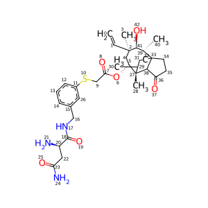 C=C[C@]1(C)C[C@@H](OC(=O)CSc2cccc(CNC(=O)[C@H](N)CC(N)=O)c2)[C@]2(C)C(C)CCC3(CCC(=O)C32)[C@@H](C)[C@@H]1O